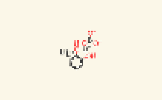 Oc1ccccc1O.[Li+].[Li+].[Li+].[O-]B([O-])[O-]